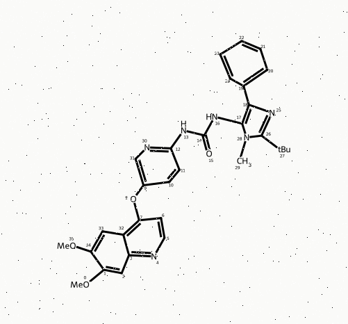 COc1cc2nccc(Oc3ccc(NC(=O)Nc4c(-c5ccccc5)nc(C(C)(C)C)n4C)nc3)c2cc1OC